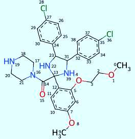 COCCOc1cc(OC)ccc1C1(C(=O)N2CCNCC2)NC(c2ccc(Cl)cc2)C(c2ccc(Cl)cc2)N1